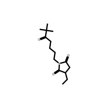 CCC1CC(=O)N(CCCCC(=O)C(C)(C)C)C1=O